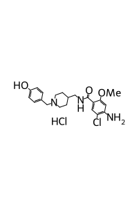 COc1cc(N)c(Cl)cc1C(=O)NCC1CCN(Cc2ccc(O)cc2)CC1.Cl